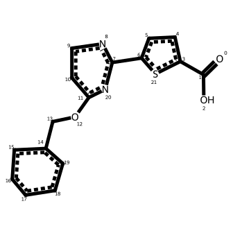 O=C(O)c1ccc(-c2nccc(OCc3ccccc3)n2)s1